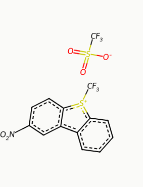 O=S(=O)([O-])C(F)(F)F.O=[N+]([O-])c1ccc2c(c1)c1ccccc1[s+]2C(F)(F)F